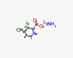 NCOC(=O)c1nccc(Cl)c1F